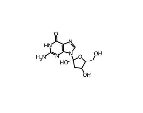 Nc1nc2c(ncn2[C@]2(O)C[C@H](O)[C@@H](CO)O2)c(=O)[nH]1